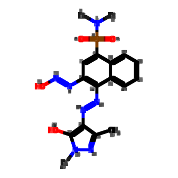 CCN(CC)S(=O)(=O)c1cc(N=NO)c(N=Nc2c(C)nn(CC)c2O)c2ccccc12